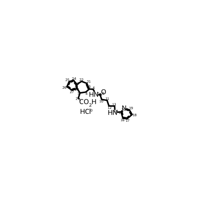 Cl.O=C(O)CC1CC(CNC(=O)CCCCNc2ccccn2)=CCc2ccccc21